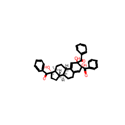 C[C@]12CC[C@@H]3C4=CC(O)(C(=O)c5ccccc5)C(O)(C(=O)c5ccccc5)C=C4CC[C@H]3[C@@H]1CC[C@@]2(O)C(=O)c1ccccc1